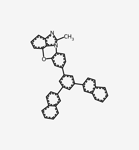 Cc1nc2cccc3c2n1-c1ccc(-c2cc(-c4ccc5ccccc5c4)cc(-c4ccc5ccccc5c4)c2)cc1O3